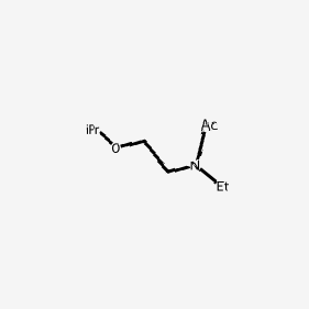 CCN(CCOC(C)C)C(C)=O